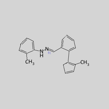 CC1=C(c2ccccc2/C=N/Nc2ccccc2C)CC=C1